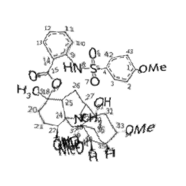 COc1ccc(S(=O)(=O)Nc2ccccc2C(=O)OC2(C)CC[C@H](OC)C34C2CC(N3C)[C@@]2(O)C[C@H](OC)[C@H]3CC4[C@]2(O)[C@H]3OC)cc1